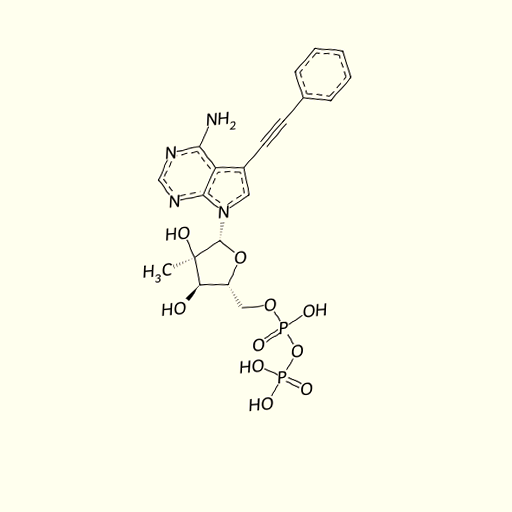 C[C@@]1(O)[C@H](O)[C@@H](COP(=O)(O)OP(=O)(O)O)O[C@H]1n1cc(C#Cc2ccccc2)c2c(N)ncnc21